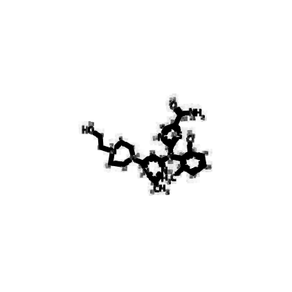 Cc1nc(N2CCN(CCO)CC2)cc(N(c2ncc(C(N)=O)s2)c2c(C)cccc2Cl)n1